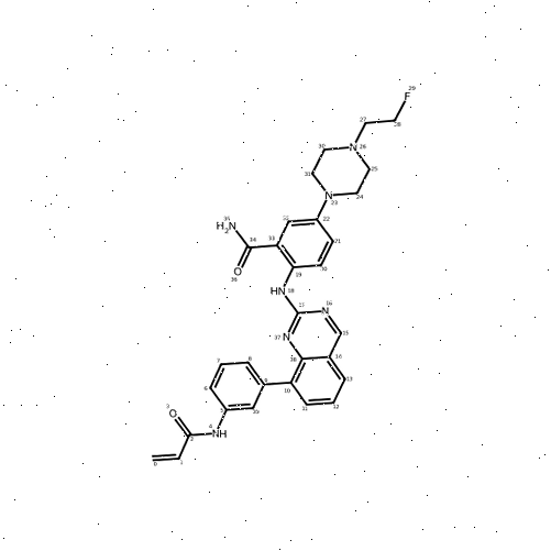 C=CC(=O)Nc1cccc(-c2cccc3cnc(Nc4ccc(N5CCN(CCF)CC5)cc4C(N)=O)nc23)c1